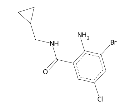 Nc1c(Br)cc(Cl)cc1C(=O)NCC1CC1